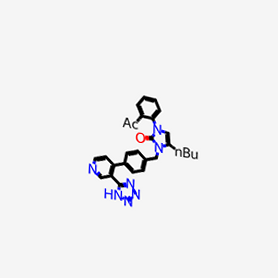 CCCCc1cn(-c2ccccc2C(C)=O)c(=O)n1Cc1ccc(-c2ccncc2-c2nnn[nH]2)cc1